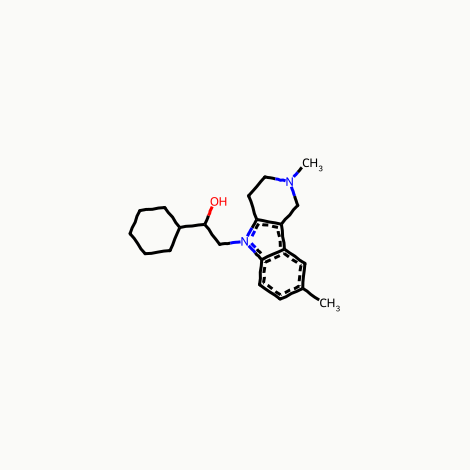 Cc1ccc2c(c1)c1c(n2CC(O)C2CCCCC2)CCN(C)C1